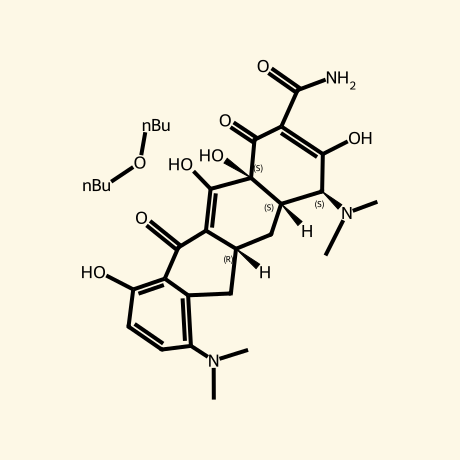 CCCCOCCCC.CN(C)c1ccc(O)c2c1C[C@H]1C[C@H]3[C@H](N(C)C)C(O)=C(C(N)=O)C(=O)[C@@]3(O)C(O)=C1C2=O